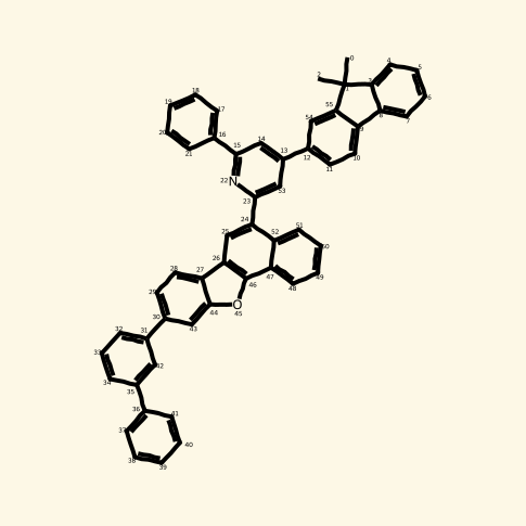 CC1(C)c2ccccc2-c2ccc(-c3cc(-c4ccccc4)nc(-c4cc5c6ccc(-c7cccc(-c8ccccc8)c7)cc6oc5c5ccccc45)c3)cc21